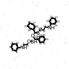 B(OCCNc1ccccc1)C(OC(BOCCNc1ccccc1)c1ccccc1)c1ccccc1